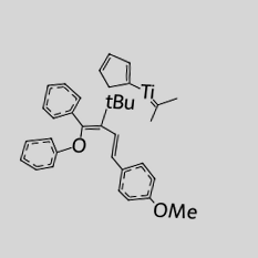 COc1ccc(C=CC(=C(Oc2ccccc2)c2ccccc2)C(C)(C)C)cc1.C[C](C)=[Ti][C]1=CC=CC1